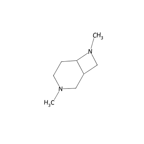 CN1CCC2C(C1)CN2C